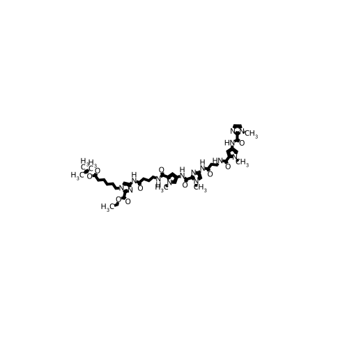 CCOC(=O)c1nc(NC(=O)CCCNC(=O)c2cc(NC(=O)c3nc(NC(=O)CCNC(=O)c4cc(NC(=O)c5nccn5C)cn4C)cn3C)cn2C)cn1CCCCCC(=O)OC(C)(C)C